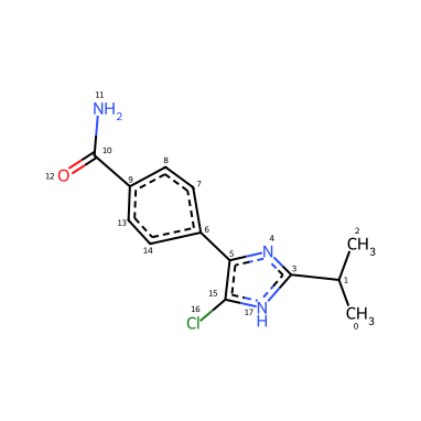 CC(C)c1nc(-c2ccc(C(N)=O)cc2)c(Cl)[nH]1